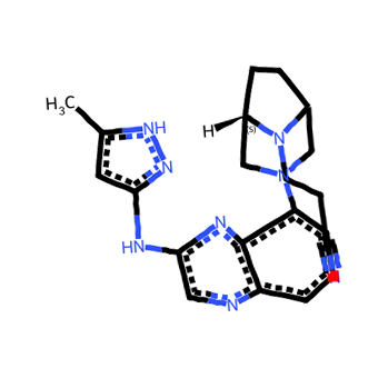 Cc1cc(Nc2cnc3cccc(N4CC5CC[C@@H](C4)N5CCC#N)c3n2)n[nH]1